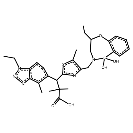 CCC1CN(Cc2nc(C(c3ccc4c(nnn4CC)c3C)C(C)(C)C(=O)O)sc2C)S(O)(O)c2ccccc2O1